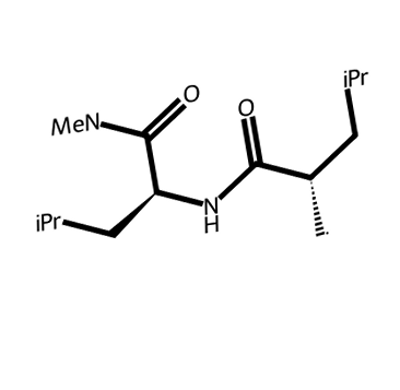 [CH2][C@@H](CC(C)C)C(=O)N[C@@H](CC(C)C)C(=O)NC